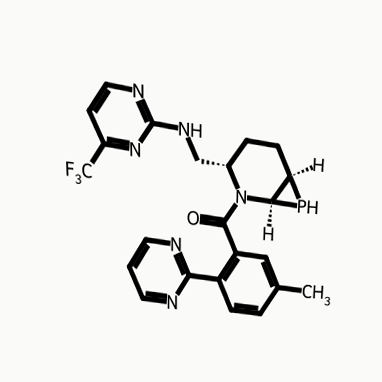 Cc1ccc(-c2ncccn2)c(C(=O)N2[C@H](CNc3nccc(C(F)(F)F)n3)CC[C@H]3P[C@H]32)c1